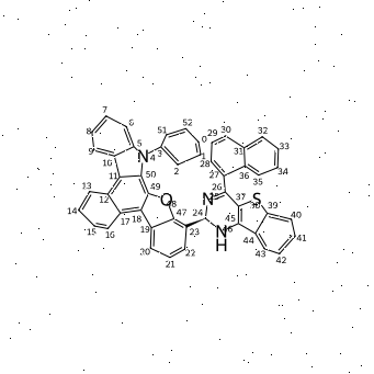 c1ccc(-n2c3ccccc3c3c4ccccc4c4c5cccc([C@H]6N=C(c7cccc8ccccc78)c7sc8ccccc8c7N6)c5oc4c32)cc1